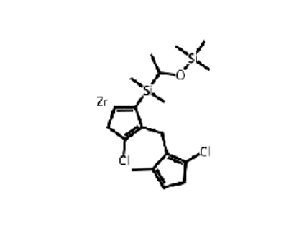 CC1=CCC(Cl)=C1CC1=C(Cl)CC=C1[Si](C)(C)C(C)O[Si](C)(C)C.[Zr]